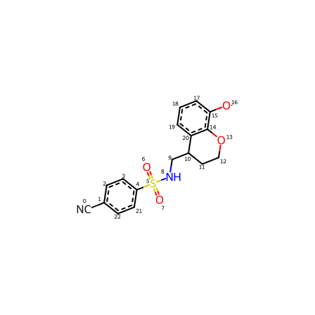 N#Cc1ccc(S(=O)(=O)NCC2CCOc3c([O])cccc32)cc1